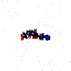 CC1=C(N2CCC3(C[C@H]4CC[C@H](C3)N4C[C@@H](O)c3ccc(-n4cnnn4)cn3)C2=O)COC1=O